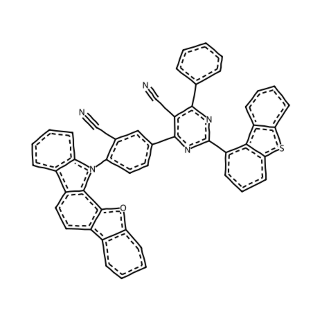 N#Cc1cc(-c2nc(-c3cccc4sc5ccccc5c34)nc(-c3ccccc3)c2C#N)ccc1-n1c2ccccc2c2ccc3c4ccccc4oc3c21